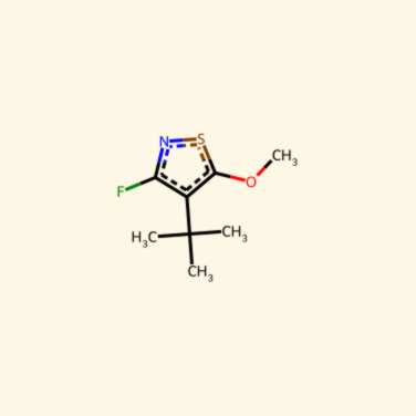 COc1snc(F)c1C(C)(C)C